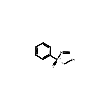 C=N[P@](=O)(CC(C)C)c1ccccc1